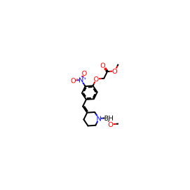 COBN1CCCC(=Cc2ccc(OCC(=O)OC)c([N+](=O)[O-])c2)C1